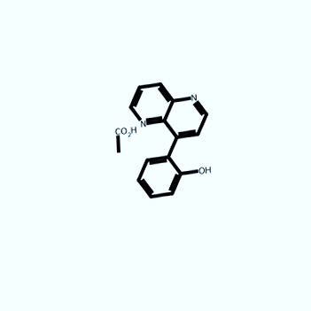 CC(=O)O.Oc1ccccc1-c1ccnc2cccnc12